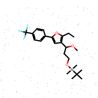 CCc1oc(-c2ccc(C(F)(F)F)cc2)cc1C(CCO[Si](C)(C)C(C)(C)C)OC